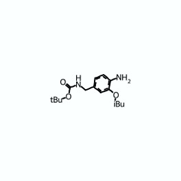 CCC(C)Oc1cc(CNC(=O)OC(C)(C)C)ccc1N